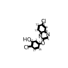 Oc1cc(Oc2cnc3cc(Cl)ccc3n2)ccc1Cl